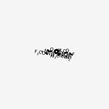 CC(C)(S/C(N)=N\C(C)(C)c1cc(NC(=O)c2cnc(OCC(F)(F)F)cn2)ccc1F)C(=O)NCC(F)F